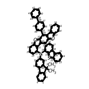 CC1(C)c2ccccc2-c2ccc(N(c3cccc4c3sc3ccccc34)c3cccc4oc5c(-c6ccc(-c7ccccc7)cc6)c6c(cc5c34)oc3ccccc36)cc21